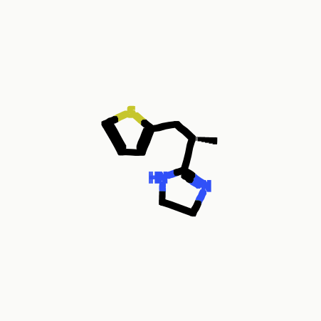 C[C@@H](Cc1cccs1)C1=NCCN1